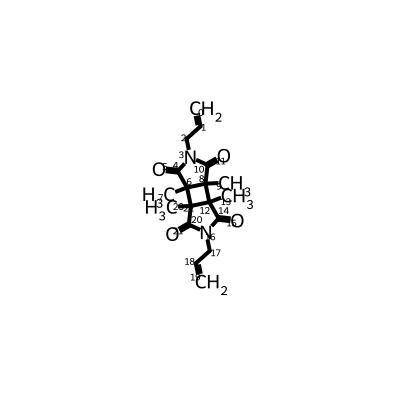 C=CCN1C(=O)C2(C)C(C)(C1=O)C1(C)C(=O)N(CC=C)C(=O)C21C